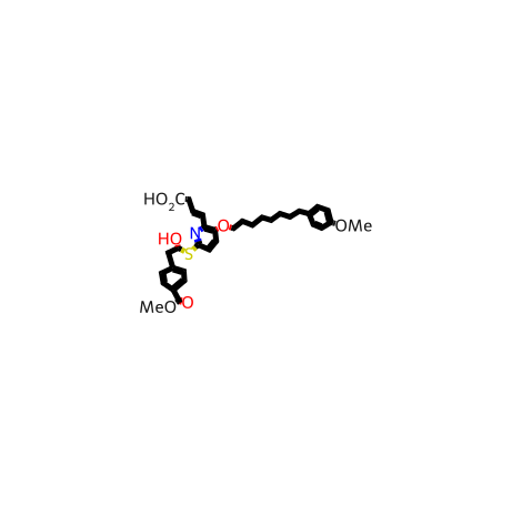 COC(=O)c1ccc(CC(O)Sc2ccc(OCCCCCCCCc3ccc(OC)cc3)c(C=CCC(=O)O)n2)cc1